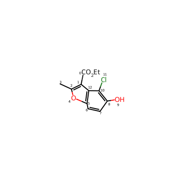 CCOC(=O)c1c(C)oc2ccc(O)c(Cl)c12